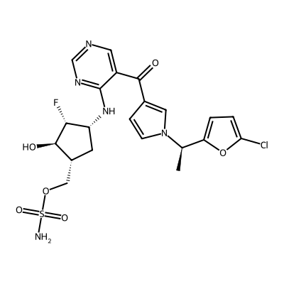 C[C@H](c1ccc(Cl)o1)n1ccc(C(=O)c2cncnc2N[C@@H]2C[C@H](COS(N)(=O)=O)[C@@H](O)[C@@H]2F)c1